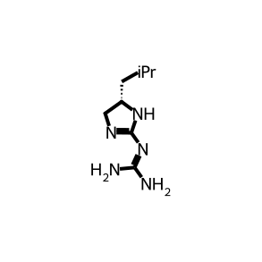 CC(C)C[C@H]1CN=C(N=C(N)N)N1